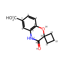 O=C(O)c1ccc2c(c1)NC(=O)C1(CCC1)O2